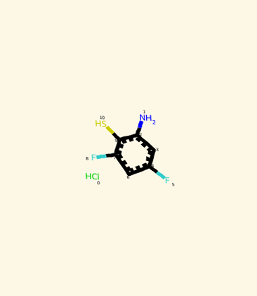 Cl.Nc1cc(F)cc(F)c1S